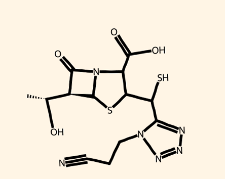 C[C@@H](O)[C@H]1C(=O)N2C(C(=O)O)C(C(S)c3nnnn3CCC#N)SC12